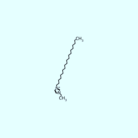 CCCCCCCCCCCCCCCCCCCC[n+]1ccn(CC)c1